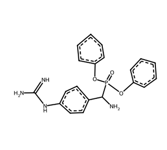 N=C(N)Nc1ccc(C(N)P(=O)(Oc2ccccc2)Oc2ccccc2)cc1